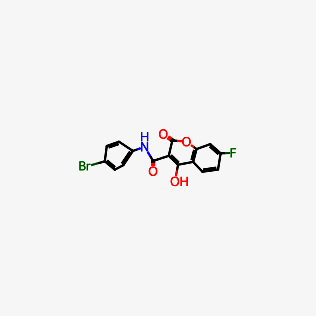 O=C(Nc1ccc(Br)cc1)c1c(O)c2ccc(F)cc2oc1=O